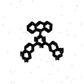 c1ccc2c(-c3nc(-c4ccc5ncncc5c4)nc(-c4ccc5ncncc5c4)n3)c3ccccc3cc2c1